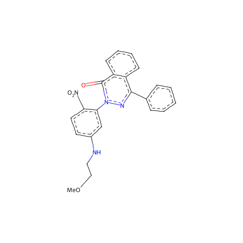 COCCNc1ccc([N+](=O)[O-])c(-n2nc(-c3ccccc3)c3ccccc3c2=O)c1